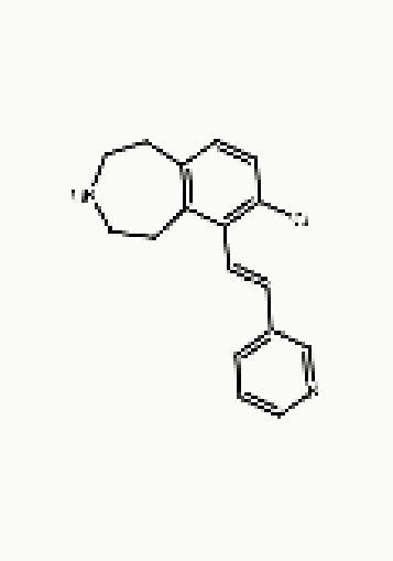 Clc1ccc2c(c1C=Cc1cccnc1)CCNCC2